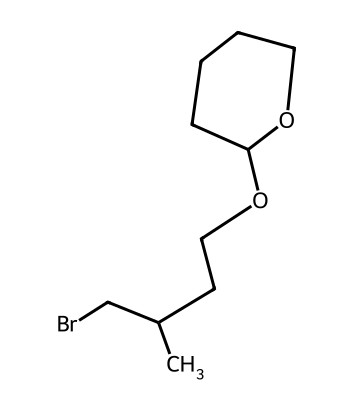 CC(CBr)CCOC1CCCCO1